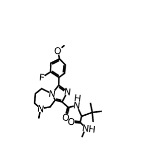 CNC(=O)C(NC(=O)c1nc(-c2ccc(OC)cc2F)n2c1CN(C)CCC2)C(C)(C)C